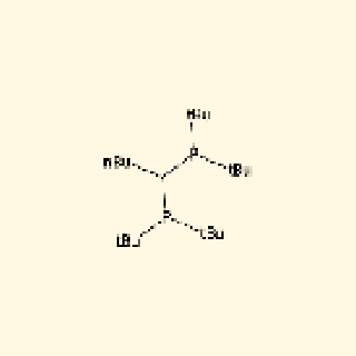 CCCCC(P(C(C)(C)C)C(C)(C)C)P(C(C)(C)C)C(C)(C)C